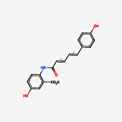 O=C(/C=C/C=C/c1ccc(O)cc1)Nc1ccc(O)cc1C(=O)O